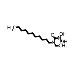 CCCCCCCCCCCN(CC)C(=O)N(O)O